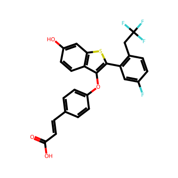 O=C(O)C=Cc1ccc(Oc2c(-c3cc(F)ccc3CC(F)(F)F)sc3cc(O)ccc23)cc1